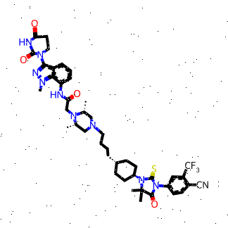 C[C@@H]1CN(CCCC[C@H]2CC[C@H](N3C(=S)N(c4ccc(C#N)c(C(F)(F)F)c4)C(=O)C3(C)C)CC2)C[C@H](C)N1CC(=O)Nc1cccc2c(N3CCC(=O)NC3=O)nn(C)c12